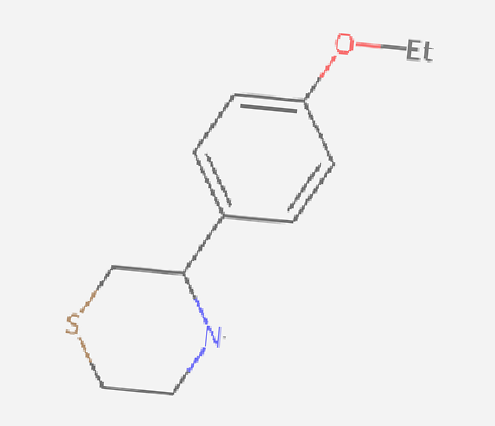 CCOc1ccc(C2CSCC[N]2)cc1